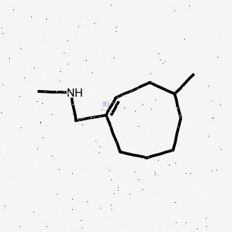 CNC/C1=C/CC(C)CCCC1